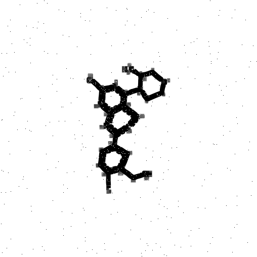 C[C@H]1COCCN1c1nc(Cl)nc2nc(-c3ccc(F)c(CO)c3)ccc12